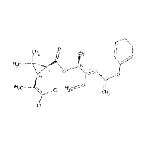 C=C/C(=C\C(=C)OC1=CCCC=C1)[C@H](C#N)OC(=O)[C@H]1[C@@H](C(C)=C(Cl)Cl)C1(C)C